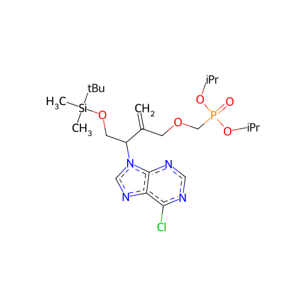 C=C(COCP(=O)(OC(C)C)OC(C)C)C(CO[Si](C)(C)C(C)(C)C)n1cnc2c(Cl)ncnc21